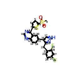 CS(=O)(=O)c1ccc(-c2ncnc3ccc(-c4c[nH]nc4Cc4ccc(F)cc4F)cc23)s1